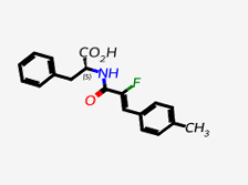 Cc1ccc(C=C(F)C(=O)N[C@@H](Cc2ccccc2)C(=O)O)cc1